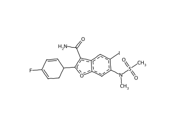 CN(c1cc2oc(C3C=CC(F)=CC3)c(C(N)=O)c2cc1I)S(C)(=O)=O